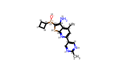 Cc1ncc(-c2cc(C(C)C)c3c(N)c([S@+]([O-])C4CCC4)sc3n2)cn1